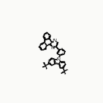 CC(C)(C)c1ccc2c(c1)c1cc(C(C)(C)C)ccc1n2-c1cccc(-c2cnc3c4ccccc4c4ccccc4c3n2)c1